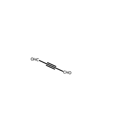 O=CC#CC=O